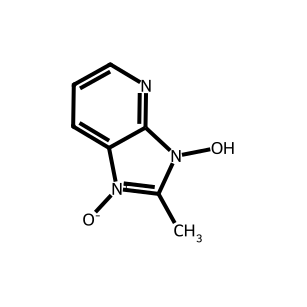 Cc1n(O)c2ncccc2[n+]1[O-]